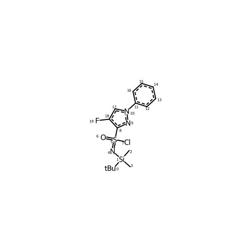 CC(C)(C)[Si](C)(C)N=S(=O)(Cl)c1nn(-c2ccccc2)cc1F